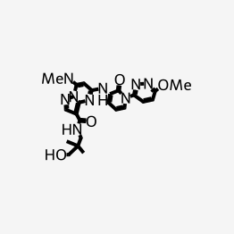 CNc1cc(Nc2cccn(-c3ccc(OC)nn3)c2=O)nc2c(C(=O)NCC(C)(C)CO)cnn12